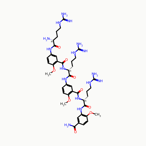 COc1ccc(C(N)=O)cc1NC(=O)[C@@H](CCCNC(=N)N)NC(=O)c1cc(NC(=O)[C@@H](CCCNC(=N)N)NC(=O)c2cc(NC(=O)[C@H](N)CCCNC(=N)N)ccc2OC)ccc1OC